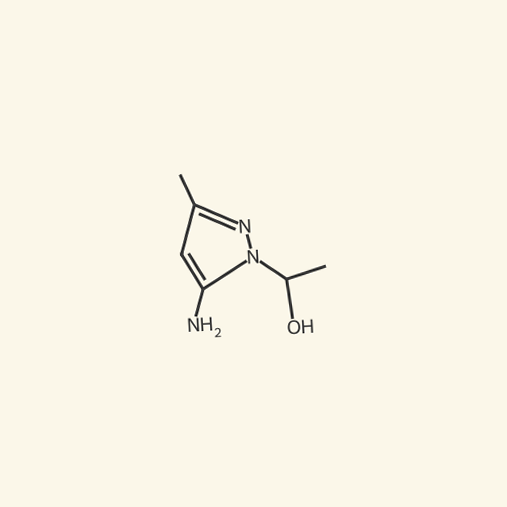 Cc1cc(N)n(C(C)O)n1